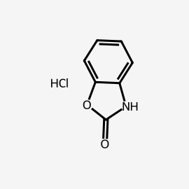 Cl.O=c1[nH]c2ccccc2o1